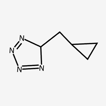 C1CC1CC1N=NN=N1